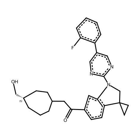 O=C(CC1CCC[C@H](CO)CC1)c1ccc2c(c1)N(c1ncc(-c3ccccc3F)cn1)CC21CC1